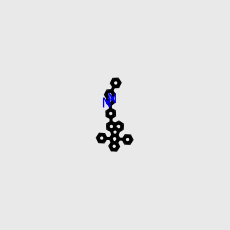 c1ccc(-c2ccc3nc(-c4ccc(-c5ccc6c7c(cccc57)-c5c-6c(-c6ccccc6)c6ccccc6c5-c5ccccc5)cc4)cn3c2)cc1